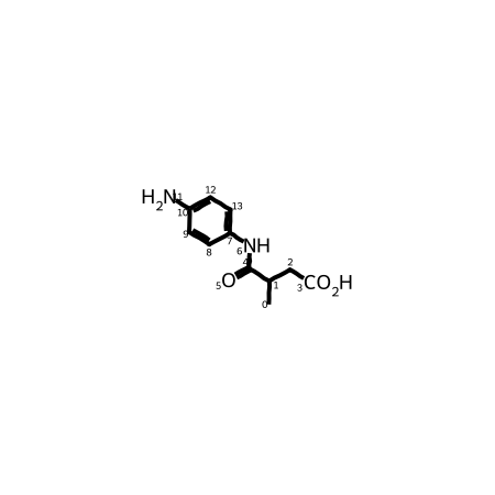 CC(CC(=O)O)C(=O)Nc1ccc(N)cc1